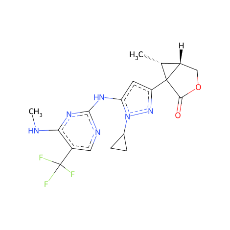 CNc1nc(Nc2cc(C34C(=O)OC[C@H]3[C@H]4C)nn2C2CC2)ncc1C(F)(F)F